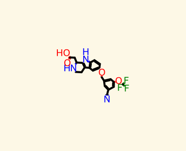 N#Cc1cc(COc2ccc3[nH]c4c(c3c2)CCNC4CC(=O)O)cc(OC(F)(F)F)c1